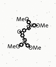 COc1ccc(N(c2ccc(OC)cc2)c2ccc(-c3ccc4c(c3)-c3cc(-c5ccc(N(c6ccc(OC)cc6)c6ccc(OC)cc6)s5)ccc3C4=O)s2)cc1